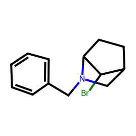 BrC1C2CCC1N(Cc1ccccc1)C2